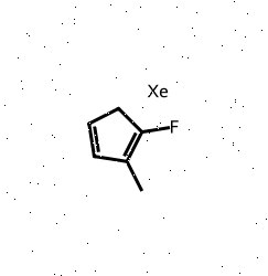 CC1=C(F)CC=C1.[Xe]